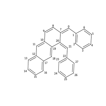 C(c1ccccc1)=c1ccc2cc3ccccc3cc2c1=Cc1ccccc1